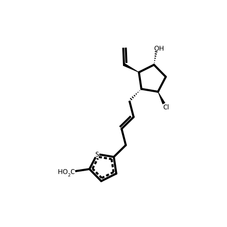 C=C[C@@H]1[C@@H](C/C=C/Cc2ccc(C(=O)O)s2)[C@H](Cl)C[C@H]1O